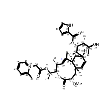 CO[C@H]1C[C@H]2C=C[C@@H]3C[C@]2(O[C@H]3[C@H](OC(=O)c2ccc[nH]2)[C@H](C)[C@H](C)O)/C(C)=C/[C@@H](C)[C@@H]([C@@H](C)OC(=O)C[n+]2ccccc2C)OC1=O